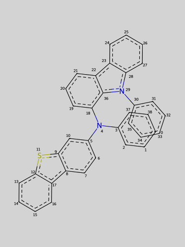 c1ccc(N(c2ccc3c(c2)sc2ccccc23)c2cccc3c4ccccc4n(-c4ccccc4)c23)cc1